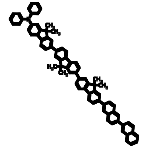 CC1(C)c2cc(-c3ccc4c(c3)C(C)(C)c3cc(-c5ccc6cc(-c7ccc8ccccc8c7)ccc6c5)ccc3-4)ccc2-c2ccc(-c3ccc4c(c3)C(C)(C)c3cc(N(c5ccccc5)c5ccccc5)ccc3-4)cc21